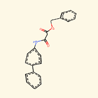 O=C(Nc1ccc(-c2ccccc2)cc1)C(=O)OCc1ccccc1